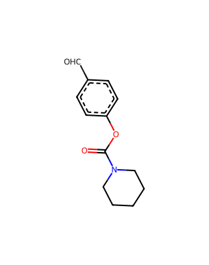 O=Cc1ccc(OC(=O)N2CCCCC2)cc1